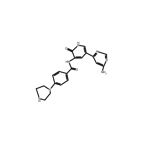 Nc1cc(-c2c[nH]c(=O)c(NC(=O)c3ccc(N4CCNCC4)cc3)c2)ncn1